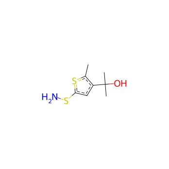 Cc1sc(SN)cc1C(C)(C)O